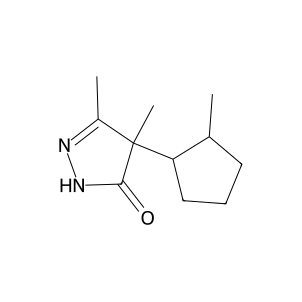 CC1=NNC(=O)C1(C)C1CCCC1C